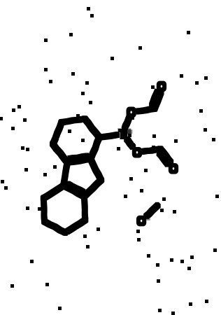 C[O-].O=C[O][Ti+]([O]C=O)[CH]1CCCC2=C1CC1=C2CCCC1